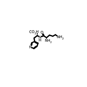 NCCC[C@H](N)C(=O)N[C@@H](Cc1cccnc1)C(=O)O